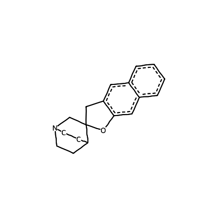 c1ccc2cc3c(cc2c1)CC1(CN2CCC1CC2)O3